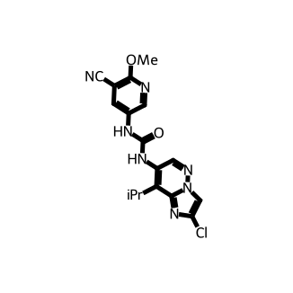 COc1ncc(NC(=O)Nc2cnn3cc(Cl)nc3c2C(C)C)cc1C#N